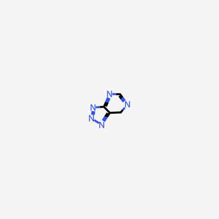 C1=NCC2=NN=NC2=N1